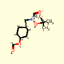 CC(C)(C)ON(C=O)CC1CCC(OC=O)CC1